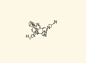 CSc1ccc(CN2C3CC2CN(c2ccc(-c4cc(N5CC(C#N)C5)cn5ncc(C#N)c45)cn2)C3)cn1